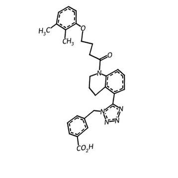 Cc1cccc(OCCCC(=O)N2CCCc3c(-c4nnnn4Cc4cccc(C(=O)O)c4)cccc32)c1C